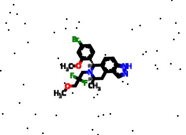 COCC(F)(F)CN1[C@H](c2ccc(Br)cc2OC)c2ccc3[nH]ncc3c2C[C@H]1C